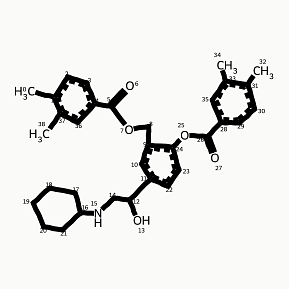 Cc1ccc(C(=O)OCc2cc(C(O)CNC3CCCCC3)ccc2OC(=O)c2ccc(C)c(C)c2)cc1C